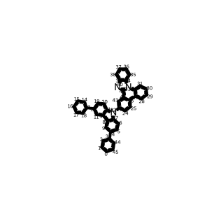 c1ccc(-c2ccc3c(c2)c2cc(-c4ccccc4)ccc2n3-c2ccc3c4ccccc4n4c5ccccc5nc4c3c2)cc1